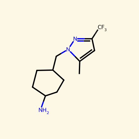 Cc1cc(C(F)(F)F)nn1CC1CCC(N)CC1